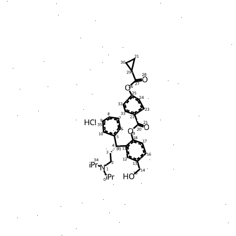 CC(C)N(CC[C@H](c1ccccc1)c1cc(CO)ccc1OC(=O)c1ccc(OC(=O)C2CC2)cc1)C(C)C.Cl